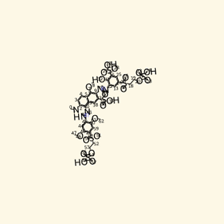 CNc1ccc2c(OC)c(/N=N/c3cc(S(=O)(=O)CCOS(=O)(=O)O)cc(S(=O)(=O)O)c3O)c(S(=O)(=O)O)cc2c1/N=N/c1cc(OC)c(S(=O)(=O)CCOS(=O)(=O)O)cc1OC